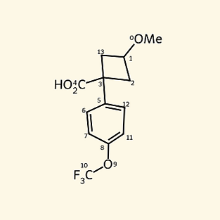 COC1CC(C(=O)O)(c2ccc(OC(F)(F)F)cc2)C1